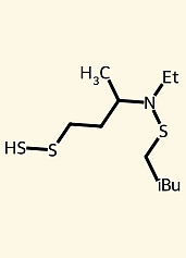 CCC(C)CSN(CC)C(C)CCSS